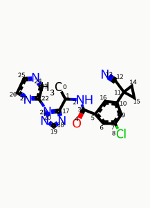 CC(NC(=O)c1cc(Cl)cc(C2(C#N)CC2)c1)c1ncnn1-c1cnccn1